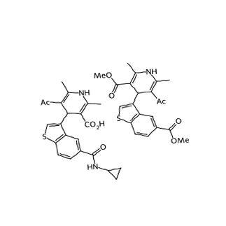 CC(=O)C1=C(C)NC(C)=C(C(=O)O)C1c1csc2ccc(C(=O)NC3CC3)cc12.COC(=O)C1=C(C)NC(C)=C(C(C)=O)C1c1csc2ccc(C(=O)OC)cc12